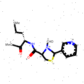 COC(=O)[C@H](CCSC)NC(=O)C1CSC(c2cccnc2)N1C=O